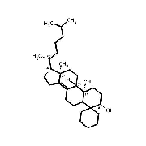 CC(C)CCC[C@@H](C)[C@H]1CCC2=C3CCC4C5(CCCCC5)[C@@H](O)CC[C@]4(C)[C@H]3CC[C@@]21C